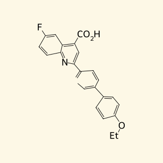 C=C(/C=C\C(=C/C)c1ccc(OCC)cc1)c1cc(C(=O)O)c2cc(F)ccc2n1